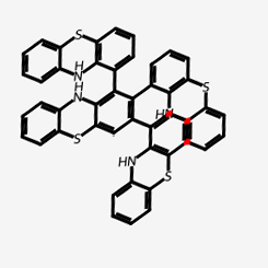 [c]1c2c(c(-c3cccc4c3Nc3ccccc3S4)c(-c3cccc4c3Nc3ccccc3S4)c1-c1cccc3c1Nc1ccccc1S3)Nc1ccccc1S2